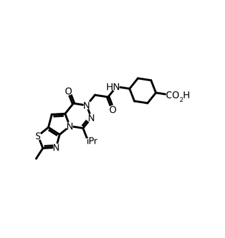 Cc1nc2c(cc3c(=O)n(CC(=O)NC4CCC(C(=O)O)CC4)nc(C(C)C)n32)s1